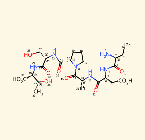 CC(C)C[C@H](N)C(=O)N[C@@H](CC(=O)O)C(=O)N[C@H](C(=O)N1CCC[C@H]1C(=O)N[C@@H](CO)C(=O)N[C@H](C(=O)O)[C@@H](C)O)C(C)C